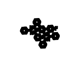 Fc1ccc(-c2cc(-c3ccccc3-c3nc(-c4ccccc4)nc(-c4ccccc4)n3)ccc2-c2nc(-c3ccccc3)nc(-c3ccccc3)n2)cc1